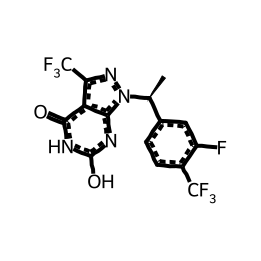 C[C@@H](c1ccc(C(F)(F)F)c(F)c1)n1nc(C(F)(F)F)c2c(=O)[nH]c(O)nc21